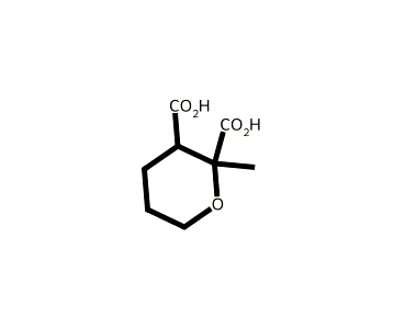 CC1(C(=O)O)OCCCC1C(=O)O